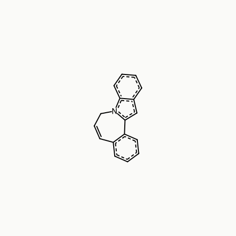 C1=Cc2ccccc2-c2cc3ccccc3n2C1